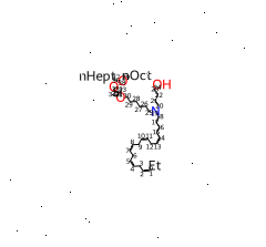 CC/C=C\C/C=C\C/C=C\C/C=C\C/C=C\CCCCN(CCCCO)CCCCCCO[Si](C)(C)OC(CCCCCCC)OCCCCCCCC